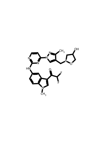 Cc1nn(-c2ccnc(Nc3ccc4c(c3)c(C(=O)C(F)F)cn4C)n2)cc1CN1CC(O)CO1